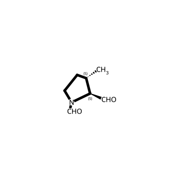 C[C@H]1CCN(C=O)[C@@H]1C=O